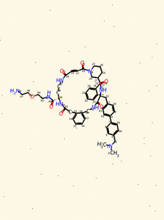 CN(C)Cc1ccc(-c2ccc(C[C@@H]3NC(=O)[C@]4(Cc5ccccc5)CCCN(C4)C(=O)/C=C/C(=O)NCC[C@@H](C(=O)NCCOCCN)NC(=O)Cc4ccccc4CNC3=O)cc2)cc1